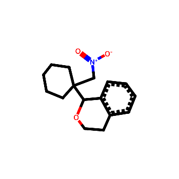 O=[N+]([O-])CC1(C2OCCc3ccccc32)CCCCC1